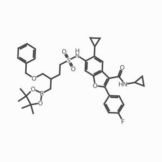 CC1(C)OB(CC(CCS(=O)(=O)Nc2cc3oc(-c4ccc(F)cc4)c(C(=O)NC4CC4)c3cc2C2CC2)COCc2ccccc2)OC1(C)C